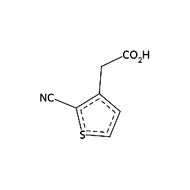 N#Cc1sccc1CC(=O)O